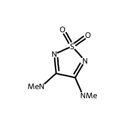 CNC1=NS(=O)(=O)N=C1NC